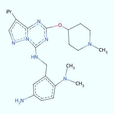 CC(C)c1cnn2c(NCc3cc(N)ccc3N(C)C)nc(OC3CCN(C)CC3)nc12